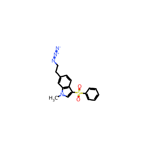 Cn1cc(S(=O)(=O)c2ccccc2)c2ccc(CCN=[N+]=[N-])cc21